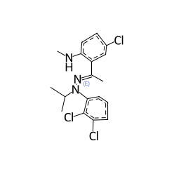 CNc1ccc(Cl)cc1/C(C)=N/N(c1cccc(Cl)c1Cl)C(C)C